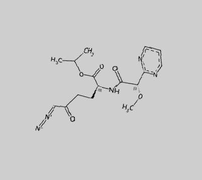 CO[C@H](C(=O)N[C@@H](CCC(=O)C=[N+]=[N-])C(=O)OC(C)C)c1ncccn1